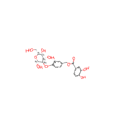 O=C(OCc1ccc(O[C@@H]2[C@@H](O)[C@H](O)[C@@H](CO)O[C@H]2O)cc1)c1ccc(O)c(O)c1